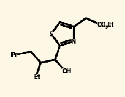 CCOC(=O)Cc1csc(C(O)C(CC)CC(C)C)n1